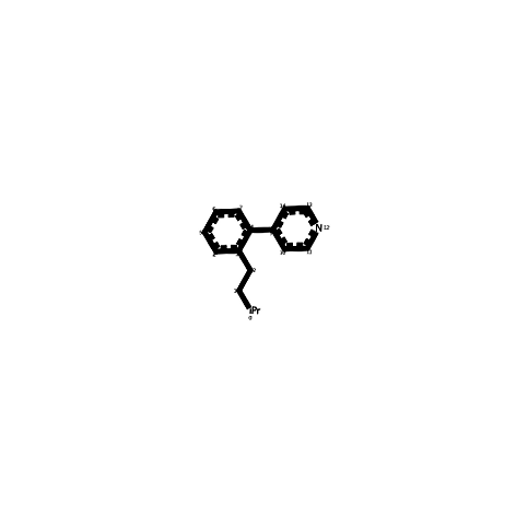 CC(C)CCc1ccccc1-c1ccncc1